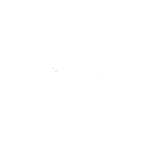 CC1COCCCN1C